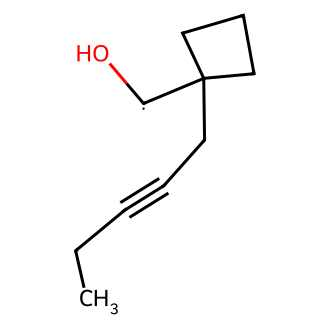 CCC#CCC1([CH]O)CCC1